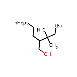 CCCCCCCCCC(CO)C(C)(C)CC(C)(C)C